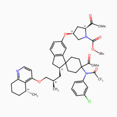 COC(=O)[C@@H]1C[C@H](Oc2ccc3c(c2)C2(CCC(C(=O)OC)(N(C(=O)C(F)(F)F)c4cccc(Cl)c4)CC2)[C@@H](C[C@@H](C)COc2ccnc4c2[C@H](C)CCC4)C3)CN1C(=O)OC(C)(C)C